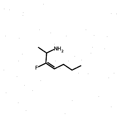 CCC/C=C(/F)C(C)N